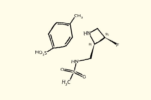 CS(=O)(=O)NC[C@H]1NC[C@H]1F.Cc1ccc(S(=O)(=O)O)cc1